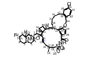 CO[C@]1(CN2CCN3CC[C@H](F)C[C@@H]3C2)/C=C/C[C@H](C)[C@@H](C)S(=O)(=O)NC(=O)c2ccc3c(c2)N(CCCCc2cc(Cl)ccc2CO3)C[C@@H]2CC[C@H]21